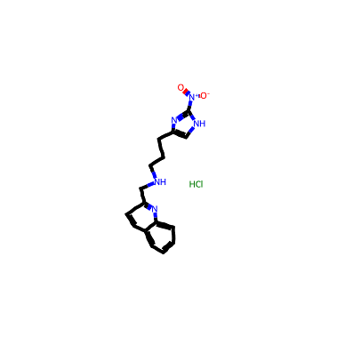 Cl.O=[N+]([O-])c1nc(CCCNCc2ccc3ccccc3n2)c[nH]1